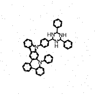 c1ccc(C2NC(c3ccccc3)NC(c3ccc(-n4c5ccccc5c5cc6c(cc54)N(c4ccccc4)c4ccccc4-c4ccccc4-6)cc3)N2)cc1